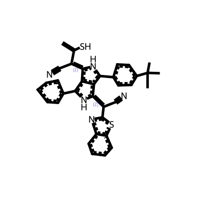 C=C(S)/C(C#N)=c1\[nH]c(-c2ccc(C(C)(C)C)cc2)c2/c(=C(\C#N)c3nc4ccccc4s3)[nH]c(-c3ccccc3)c12